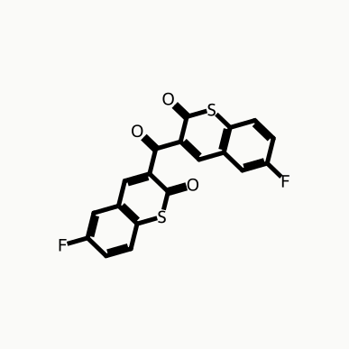 O=C(c1cc2cc(F)ccc2sc1=O)c1cc2cc(F)ccc2sc1=O